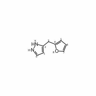 [c]1cc(Cc2ccco2)[nH]n1